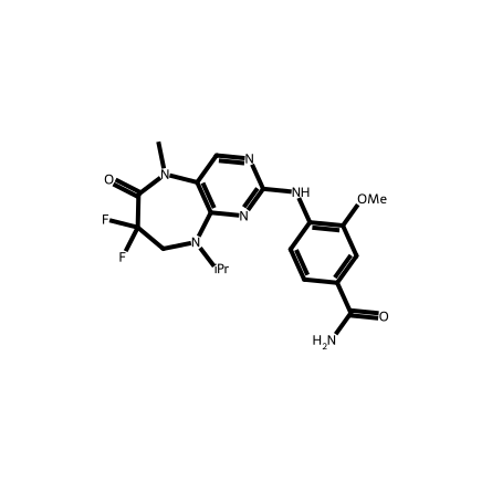 COc1cc(C(N)=O)ccc1Nc1ncc2c(n1)N(C(C)C)CC(F)(F)C(=O)N2C